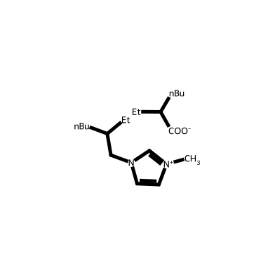 CCCCC(CC)C(=O)[O-].CCCCC(CC)Cn1cc[n+](C)c1